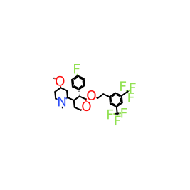 COC1CCN(C)C(C2CCO[C@@H](OCCc3cc(C(F)(F)F)cc(C(F)(F)F)c3)[C@H]2c2ccc(F)cc2)C1